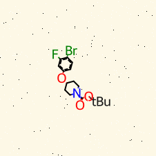 CC(C)(C)OC(=O)N1CCC(Oc2ccc(Br)c(F)c2)CC1